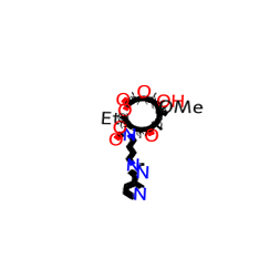 CC[C@H]1OC(=O)[C@H](C)C(=O)[C@H](C)[C@@H](O)[C@@](C)(OC)C[C@@H](C)C(=O)[C@H](C)C2N(CCCCn3cnc(-c4cccnc4)c3)C(=O)O[C@@]21C